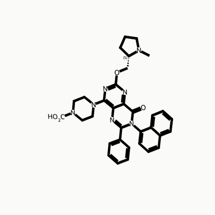 CN1CCC[C@H]1COc1nc(N2CCN(C(=O)O)CC2)c2nc(-c3ccccc3)n(-c3cccc4ccccc34)c(=O)c2n1